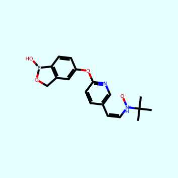 CC(C)(C)[NH+]([O-])/C=C\c1ccc(Oc2ccc3c(c2)COB3O)nc1